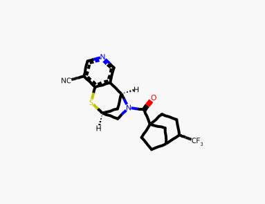 N#Cc1cncc2c1S[C@H]1C[C@@H]2N(C(=O)C23CCC(C2)C(C(F)(F)F)CC3)C1